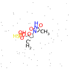 C=C[C@H]1C[C@H](n2cc(C)c(=O)[nH]c2=O)O[C@@H]1COP(=O)(O)S